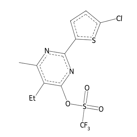 CCc1c(C)nc(-c2ccc(Cl)s2)nc1OS(=O)(=O)C(F)(F)F